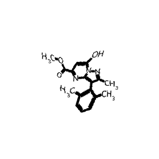 COC(=O)c1cc(O)n2nc(C)c(-c3c(C)cccc3C)c2n1